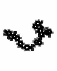 C#Cc1c(F)ccc2cccc(-c3ncc4c(N5C[C@H]6CC[C@@H](C5)N6)nc(OC[C@@]56CCCN5[C@H](COC(=O)N5CCC(CN7CCC(c8ccc9c(c8)C(=O)N(C8CCC(=O)NC8=O)C9=O)CC7)CC5)CC6)nc4c3F)c12